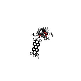 CN1C(=O)c2ccc3c4ccc5c6c(ccc(c7ccc(c2c37)C1=O)c64)C(=O)N(CCC[Si]12O[Si]3(C)O[Si]4(C)O[Si]6(C)O[Si](C)(O3)O[Si](C)(O[Si](C)(O6)O[Si](C)(O4)O1)O2)C5=O